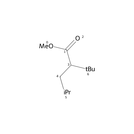 COC(=O)C(CC(C)C)C(C)(C)C